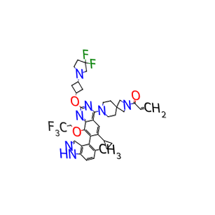 C=CC(=O)N1CC2(CCN(c3nc(O[C@H]4C[C@@H](N5CCC(F)(F)C5)C4)nc4c(OCC(F)(F)F)c(-c5c(C)ccc6[nH]ncc56)c(C5CC5)cc34)CC2)C1